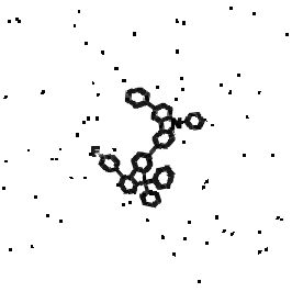 Fc1ccc(-c2cccc3c2-c2ccc(-c4ccc5c(c4)c4cc(-c6ccccc6)ccc4n5-c4ccccc4)cc2C3(c2ccccc2)c2ccccc2)cc1